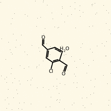 O.O=Cc1ccc(C=O)c(Cl)c1